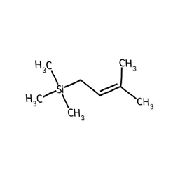 CC(C)=CC[Si](C)(C)C